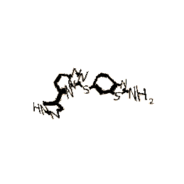 Nc1nc2ccc(Sc3nnc4ccc(-c5cn[nH]c5)nn34)cc2s1